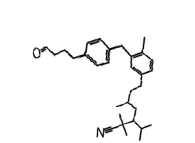 Cc1ccc(CCC(C)CC(C(C)C)C(C)(C)C#N)cc1Cc1ccc(CCCC=O)cc1